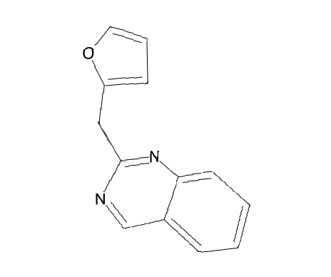 c1coc(Cc2ncc3ccccc3n2)c1